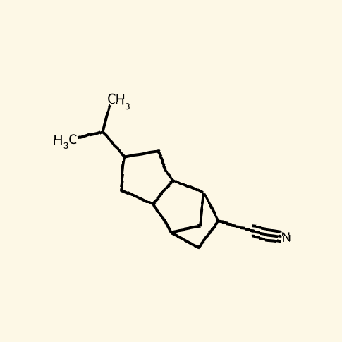 CC(C)C1CC2C3CC(C#N)C(C3)C2C1